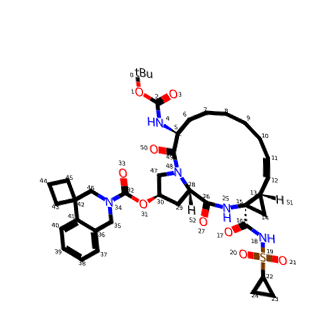 CC(C)(C)OC(=O)N[C@H]1CCCCC/C=C\[C@@H]2C[C@@]2(C(=O)NS(=O)(=O)C2CC2)NC(=O)[C@@H]2C[C@@H](OC(=O)N3Cc4ccccc4C4(CCC4)C3)CN2C1=O